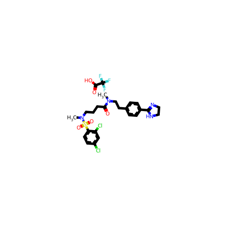 CN(CCc1ccc(C2=NCCN2)cc1)C(=O)CCCN(C)S(=O)(=O)c1ccc(Cl)cc1Cl.O=C(O)C(F)(F)F